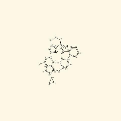 Cc1cc(-c2cn3c(n2)CCCC3)cc2c1nc(C1CC1)n2Cc1ccc(-c2ccccc2OC(=O)O)cc1